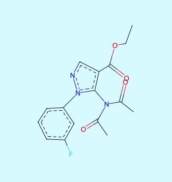 CCOC(=O)c1cnn(-c2cccc(F)c2)c1N(C(C)=O)C(C)=O